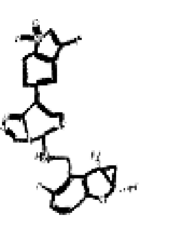 O=S1(=O)C=C(F)c2cc(-c3cnc(NCc4c(F)ccc5c4[C@H]4C[C@H]4O5)n4cnnc34)ccc21